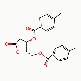 Cc1ccc(C(=O)OC[C@@H]2OC(=O)C[C@H]2OC(=O)c2ccc(C)cc2)cc1